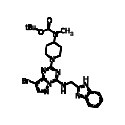 CN(C(=O)OC(C)(C)C)C1CCN(c2nc(NCc3nc4ccccc4[nH]3)n3ncc(Br)c3n2)CC1